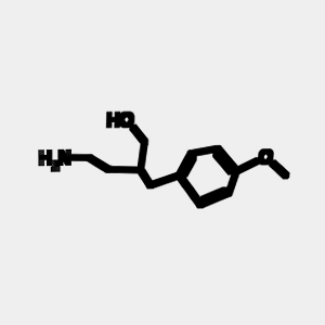 COc1ccc(CC(CO)CCN)cc1